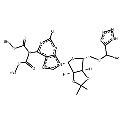 CC(=O)C(OC[C@H]1O[C@@H](n2cnc3c(N(C(=O)OC(C)(C)C)C(=O)OC(C)(C)C)nc(Cl)nc32)[C@@H]2OC(C)(C)O[C@@H]21)c1nnn[nH]1